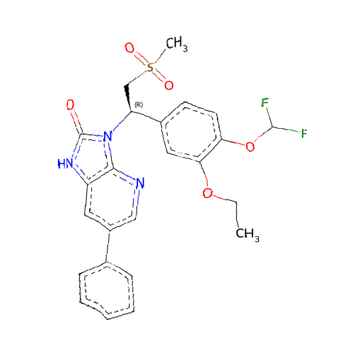 CCOc1cc([C@H](CS(C)(=O)=O)n2c(=O)[nH]c3cc(-c4ccccc4)cnc32)ccc1OC(F)F